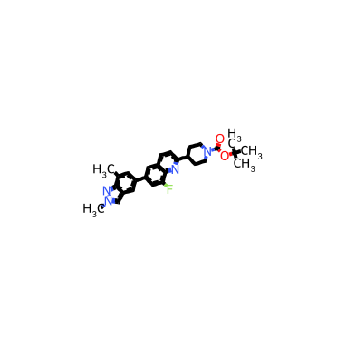 Cc1cc(-c2cc(F)c3nc(C4CCN(C(=O)OC(C)(C)C)CC4)ccc3c2)cc2cn(C)nc12